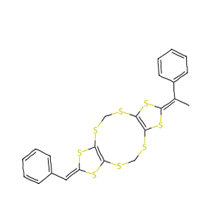 CC(=C1SC2=C(SCSC3=C(SCS2)SC(=Cc2ccccc2)S3)S1)c1ccccc1